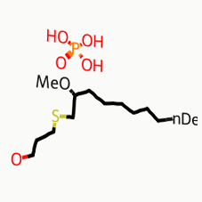 CCCCCCCCCCCCCCCCC(CSCCCO)OC.O=P(O)(O)O